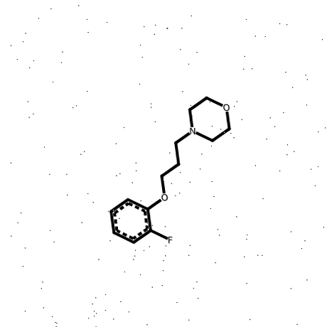 Fc1cc[c]cc1OCCCN1CCOCC1